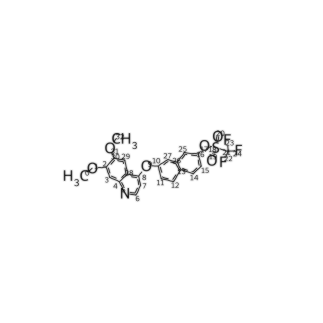 COc1cc2nccc(Oc3ccc4ccc(OS(=O)(=O)C(F)(F)F)cc4c3)c2cc1OC